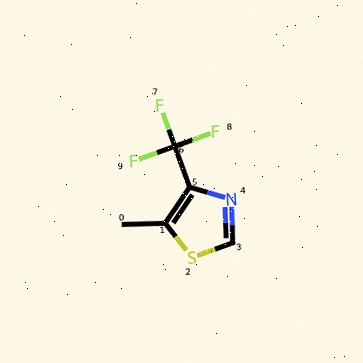 Cc1scnc1C(F)(F)F